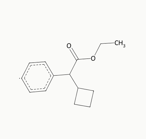 CCOC(=O)C(c1cc[c]cc1)C1CCC1